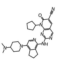 CN(C)C1CCN(c2cnc(Nc3ncc4cc(C#N)c(=O)n(C5CCCC5)c4n3)c3c2CCC3)CC1